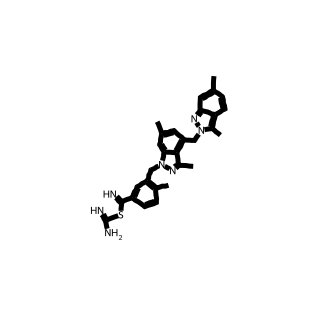 Cc1ccc2c(C)n(Cc3cc(C)cc4c3c(C)nn4Cc3cc(C(=N)SC(=N)N)ccc3C)nc2c1